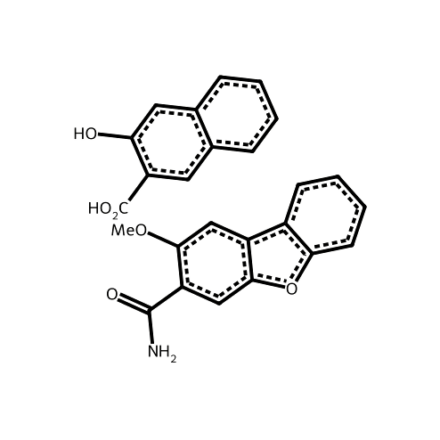 COc1cc2c(cc1C(N)=O)oc1ccccc12.O=C(O)c1cc2ccccc2cc1O